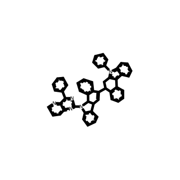 C1=C(C2Cc3c(c4ccccc4n3-c3ccccc3)-c3ccccc32)c2ccccc2C2C1c1ccccc1N2c1nc(-c2ccccc2)c2ncccc2n1